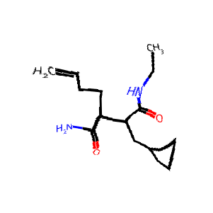 C=CCCC(C(N)=O)C(CC1CC1)C(=O)NCC